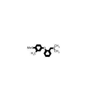 CSc1ccc(Oc2ccccc2CN(C)C)cc1C